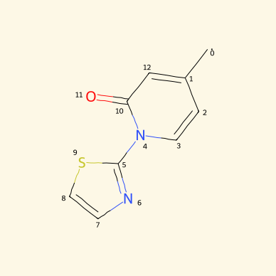 [CH2]c1ccn(-c2nccs2)c(=O)c1